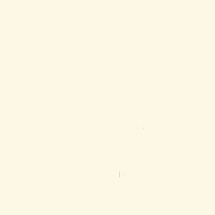 CO[C@H](CO)c1cccc(C)c1